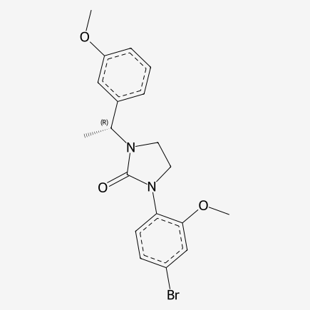 COc1cccc([C@@H](C)N2CCN(c3ccc(Br)cc3OC)C2=O)c1